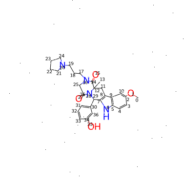 COc1ccc2[nH]c3c(c2c1)CC1(C)C(=O)N(CCCN2CCCC2)CC(=O)N1C3c1cccc(O)c1